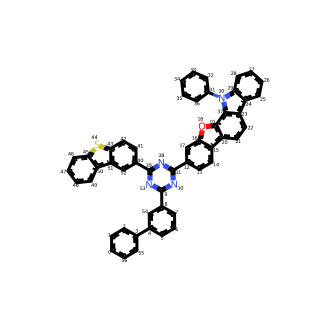 c1ccc(-c2cccc(-c3nc(-c4ccc5c(c4)oc4c5ccc5c6ccccc6n(-c6ccccc6)c54)nc(-c4ccc5sc6ccccc6c5c4)n3)c2)cc1